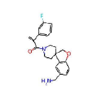 C=C(C(=O)N1CCC2(CC1)COc1ccc(CN)cc12)c1cccc(F)c1